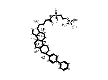 C[C@H](CCC(=O)NS(=O)(=O)CCO[Si](C)(C)C(C)(C)C)[C@H]1CC[C@H]2[C@@H]3CC[C@@H]4C[C@](O)(c5ccc(-c6ccccc6)cc5)CC[C@]4(C)[C@H]3CC[C@]12C